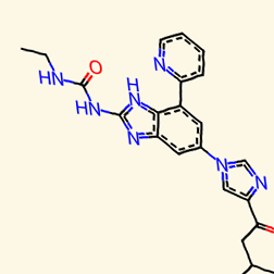 CCNC(=O)Nc1nc2cc(-n3cnc(C(=O)CC(C)C)c3)cc(-c3ccccn3)c2[nH]1